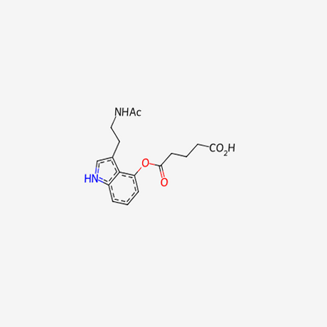 CC(=O)NCCc1c[nH]c2cccc(OC(=O)CCCC(=O)O)c12